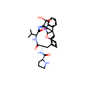 CC(C)C1NC(=O)[C@@H](NC(=O)[C@@H]2CCCN2)Cc2ccc3c(c2)C2(c4ccccc4NC2O3)c2oc1nc2C(=O)O